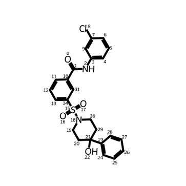 O=C(Nc1cccc(Cl)c1)c1cccc(S(=O)(=O)N2CCC(O)(c3ccccc3)CC2)c1